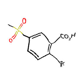 CC(C)c1ccc(S(C)(=O)=O)cc1C(=O)O